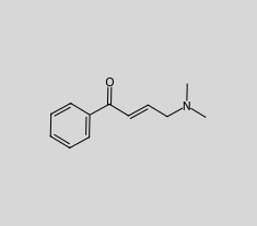 CN(C)CC=CC(=O)c1ccccc1